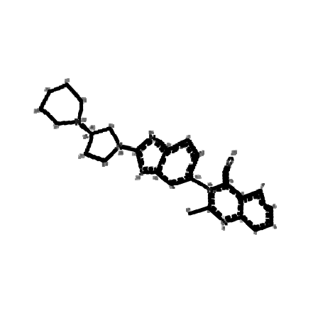 Cc1nc2ccccc2c(=O)n1-c1ccc2nc(N3CC[C@@H](N4CCCCC4)C3)sc2c1